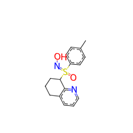 Cc1ccc(S(=O)(=NO)C2CCCc3cccnc32)cc1